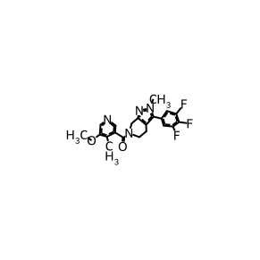 COc1cncc(C(=O)N2CCc3c(nn(C)c3-c3cc(F)c(F)c(F)c3)C2)c1C